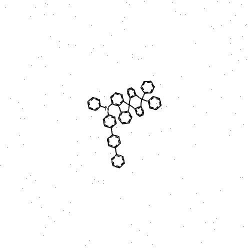 c1ccc(-c2ccc(-c3ccc(N(c4ccccc4)c4cccc5c4-c4ccccc4C54c5ccccc5C(c5ccccc5)(c5ccccc5)c5ccccc54)cc3)cc2)cc1